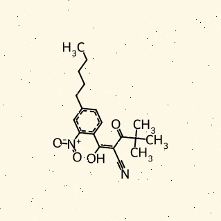 CCCCCc1ccc(C(O)=C(C#N)C(=O)C(C)(C)C)c([N+](=O)[O-])c1